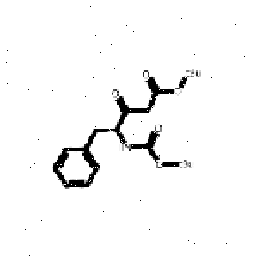 CC(C)(C)OC(=O)CC(=O)[C@H](Cc1ccccc1)NC(=O)OC(C)(C)C